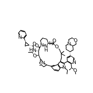 CCO[C@@H]1C2=NC(CS2)c2ccc3c(c2)c(c(-c2cc([C@@H]4CCN5CCOCC5C4)cnc2[C@H](C)OC)n3CC)CC(C)(C)COC(=O)[C@@H]2CCCN(N2)C(=O)[C@H]1NC(=O)[C@@H]1C[C@H]1c1ccccn1